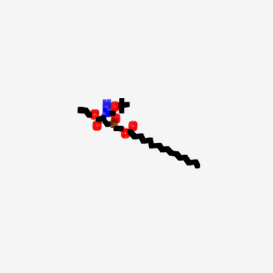 C=CCOC(=O)[C@H](CSCCOC(=O)CCCCCCCCCCCCCCC)NC(=O)OC(C)(C)C